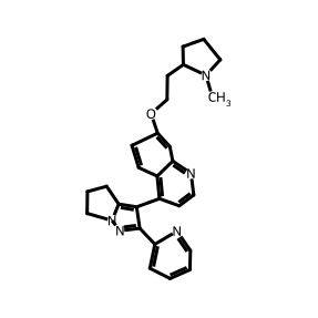 CN1CCCC1CCOc1ccc2c(-c3c(-c4ccccn4)nn4c3CCC4)ccnc2c1